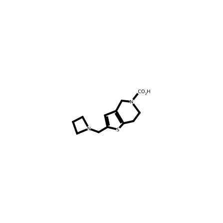 O=C(O)N1CCc2sc(CN3CCC3)cc2C1